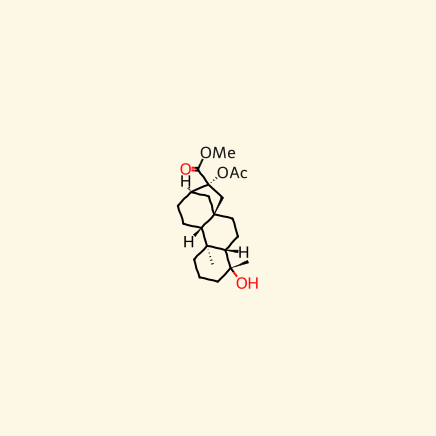 COC(=O)[C@@]1(OC(C)=O)C[C@@]23CC[C@H]4[C@@](C)(CCC[C@@]4(C)O)[C@@H]2CC[C@@H]1C3